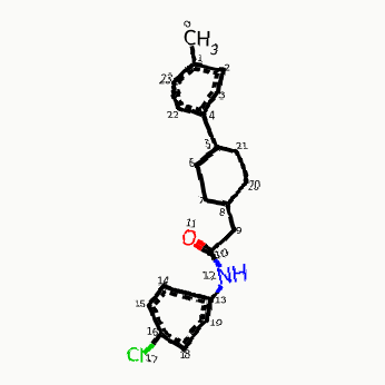 Cc1ccc(C2CCC(CC(=O)Nc3ccc(Cl)cc3)CC2)cc1